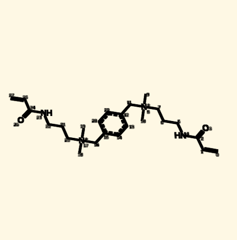 C=CC(=O)NCCC[N+](C)(C)Cc1ccc(C[N+](C)(C)CCCNC(=O)C=C)cc1